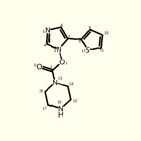 O=C(On1cncc1-c1cccs1)N1CCNCC1